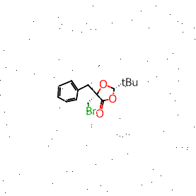 CC(C)(C)[C@@H]1OC(=O)[C@@](CBr)(Cc2ccccc2)O1